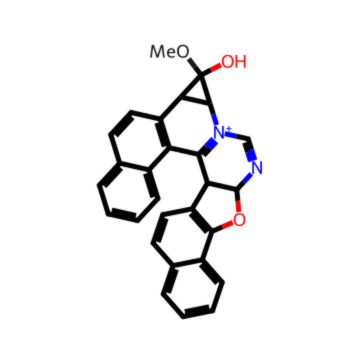 COC1(O)C2c3ccc4ccccc4c3C3=[N+](C=NC4Oc5c(ccc6ccccc56)C34)C21